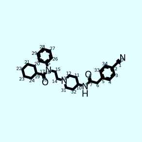 N#Cc1ccc(CC(=O)NC2CCN(CCN(C(=O)C3CCCCC3)c3ccccc3)CC2)cc1